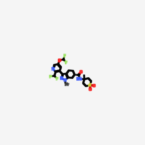 CC(C)n1nc(-c2cc(OC(F)F)cnc2C(F)F)c2c1C[C@H](C(=O)NC1(C)CCS(=O)(=O)CC1)CC2